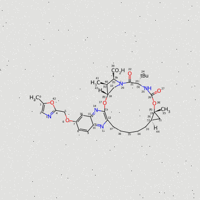 Cc1cnc(COc2ccc3nc4c(nc3c2)O[C@H]2CN(C(=O)[C@H](C(C)(C)C)NC(=O)O[C@]3(C)C[C@H]3CCCCC4)[C@H](C(=O)O)[C@@H]2C)o1